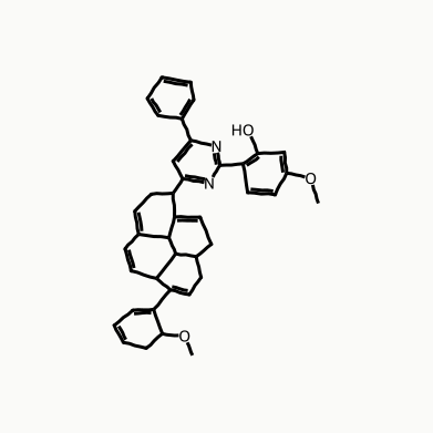 COc1ccc(-c2nc(-c3ccccc3)cc(C3CC=C4C=CC5C(C6=CC=CCC6OC)=CCC6CC=C3C4C65)n2)c(O)c1